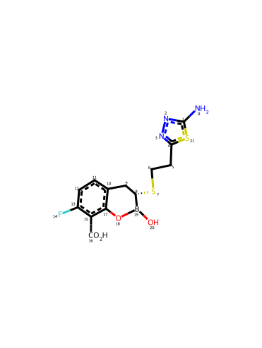 Nc1nnc(CCS[C@H]2Cc3ccc(F)c(C(=O)O)c3OB2O)s1